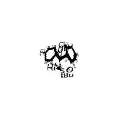 CC(C)(C)[S+]([O-])N[C@@H](c1ccccc1Cl)[C@]1(O)CC[C@@H](F)CC1